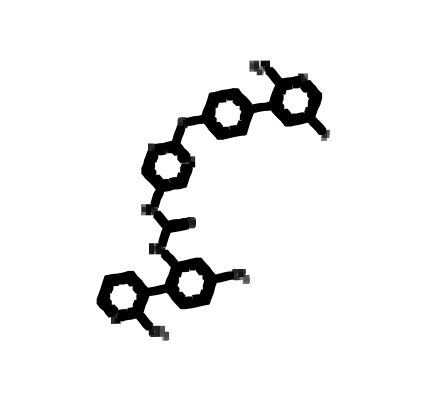 Cc1ncccc1-c1ccc(C(F)(F)F)cc1NC(=O)Nc1cnc(Oc2ccc(-c3cc(F)cnc3N)cc2)nc1